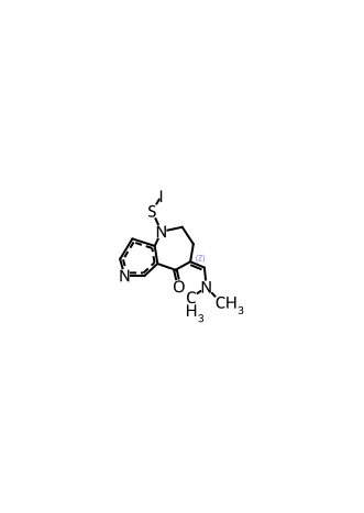 CN(C)/C=C1/CCN(SI)c2ccncc2C1=O